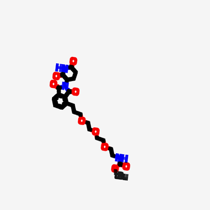 CC(C)(C)OC(=O)NCCOCCOCCOCCCc1cccc2c1C(=O)N(C1CCC(=O)NC1=O)C2=O